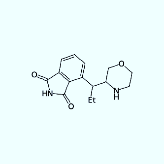 CCC(c1cccc2c1C(=O)NC2=O)C1COCCN1